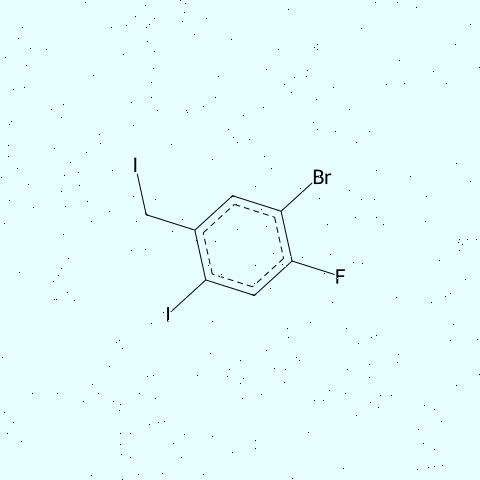 Fc1cc(I)c(CI)cc1Br